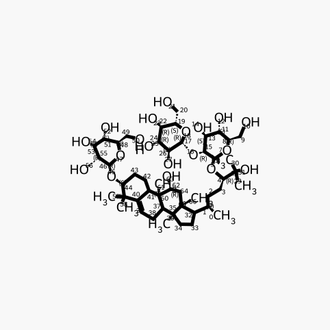 C[C@H](CC[C@@H](O[C@@H]1O[C@H](CO)[C@@H](O)[C@H](O)[C@H]1O[C@H]1O[C@@H](CO)[C@H](O)[C@@H](O)[C@@H]1O)C(C)(C)O)C1CC[C@@]2(C)C3CC=C4C(CC[C@H](O[C@@H]5O[C@H](CO)[C@@H](O)[C@H](O)[C@H]5O)C4(C)C)[C@]3(C)[C@H](O)C[C@]12C